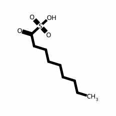 CCCCCCCCC(=O)S(=O)(=O)O